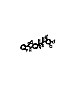 COC1=CC(NC(=S)Nc2cc(Cl)c(OC)cc2OC)(OC)C=CC1NC(=O)c1ccccc1F